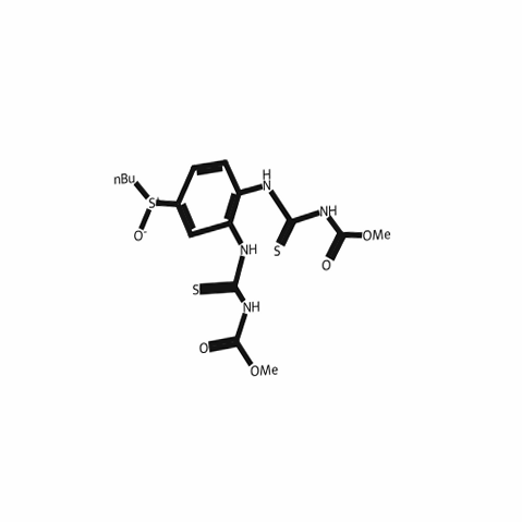 CCCC[S+]([O-])c1ccc(NC(=S)NC(=O)OC)c(NC(=S)NC(=O)OC)c1